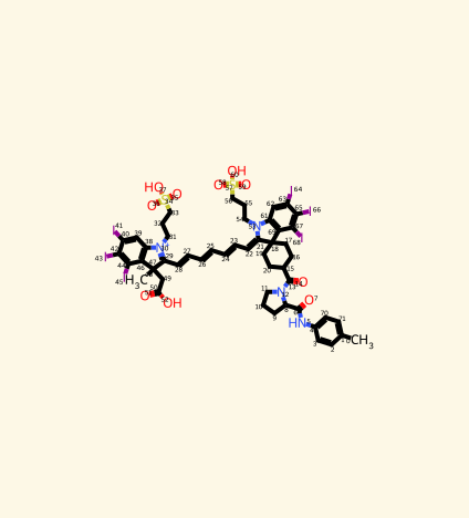 Cc1ccc(NC(=O)C2CCCN2C(=O)C2CCC3(CC2)/C(=C/C=C/C=C/C=C/C2=[N+](CCCS(=O)(=O)O)c4cc(I)c(I)c(I)c4C2(C)CC(=O)O)N(CCCS(=O)(=O)O)c2cc(I)c(I)c(I)c23)cc1